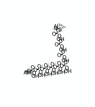 O=C([O-])OO.O=C([O-])OO.O=C([O-])OO.O=C([O-])OO.O=C([O-])OO.O=C([O-])OO.O=C([O-])OO.O=C([O-])OO.O=C([O-])OO.[Al+3].[Al+3].[Mg+2].[Na+]